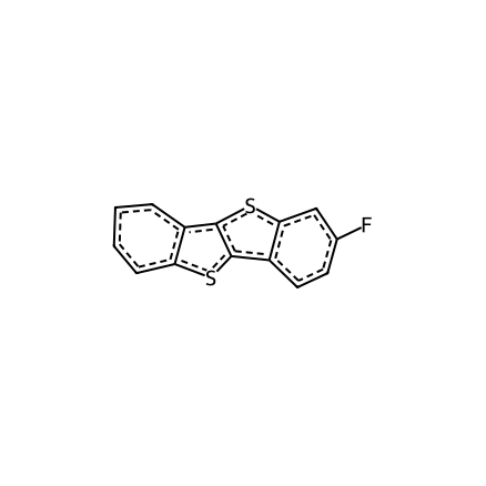 Fc1ccc2c(c1)sc1c3ccccc3sc21